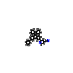 N#Cc1ccnc(-c2ccc3c(c2)-c2cc(-c4ccccc4)ccc2C3(c2ccccc2)c2ccccc2)c1